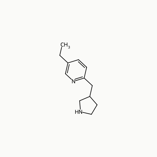 CCc1ccc(CC2CCNC2)nc1